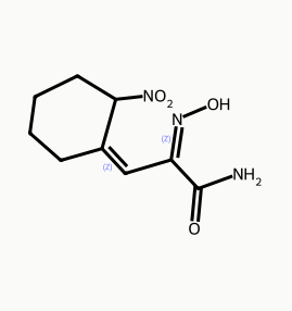 NC(=O)C(/C=C1/CCCCC1[N+](=O)[O-])=N\O